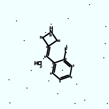 Cl.Fc1ccccc1C=C1CNC1